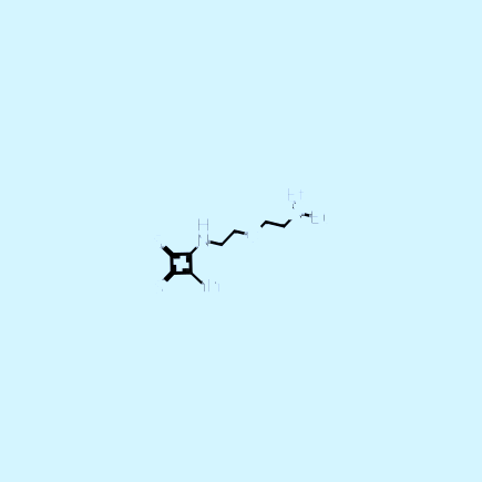 CCN(CC)CCOCCNc1c(C(C)C)c(=S)c1=S